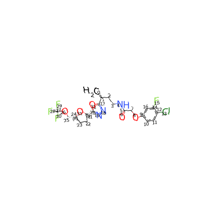 C=C(CCNC(=O)COc1ccc(Cl)c(F)c1)c1nnc([C@@H]2CC[C@H](COC(F)(F)F)O2)o1